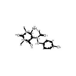 CC(=O)N(Oc1ccc(Cl)cc1)c1c(N)n(C)c(=O)n(C)c1=O